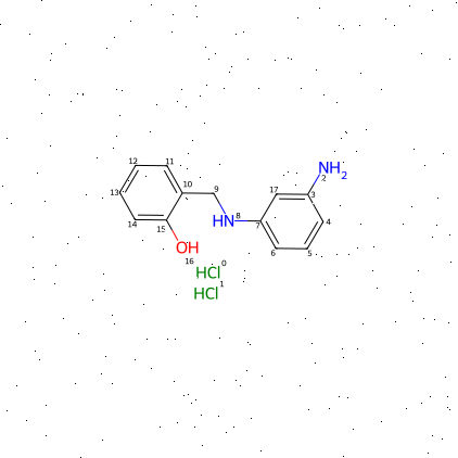 Cl.Cl.Nc1cccc(NCc2ccccc2O)c1